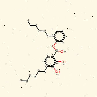 CCCCCCc1ccccc1OC(=O)c1ccc(CCCCCC)c(O)c1O